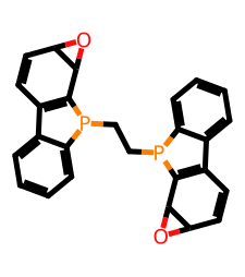 C1=CC2OC2c2c1c1ccccc1p2CCp1c2c(c3ccccc31)C=CC1OC21